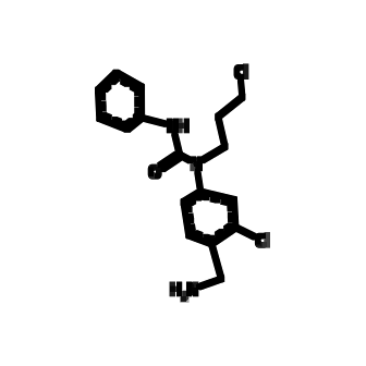 NCc1ccc(N(CCCCl)C(=O)Nc2ccccc2)cc1Cl